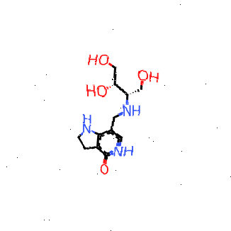 O=c1[nH]cc(CN[C@@H](CO)[C@H](O)CO)c2c1CCN2